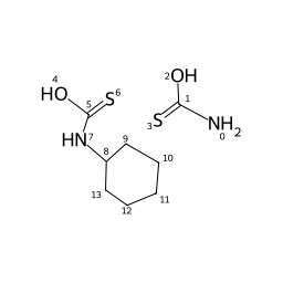 NC(O)=S.OC(=S)NC1CCCCC1